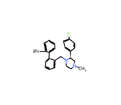 CC(C)c1ccccc1-c1ccccc1CN1CCN(C)C[C@@H]1c1ccc(F)cc1